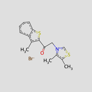 Cc1sc[n+](CC(=O)c2sc3ccccc3c2C)c1C.[Br-]